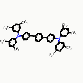 FC(F)(F)c1cc(N(c2ccc(-c3ccc(-c4ccc(N(c5cc(C(F)(F)F)cc(C(F)(F)F)c5)c5cc(C(F)(F)F)cc(C(F)(F)F)c5)cc4)cc3)cc2)c2cc(C(F)(F)F)cc(C(F)(F)F)c2)cc(C(F)(F)F)c1